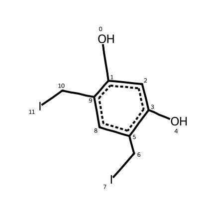 Oc1cc(O)c(CI)cc1CI